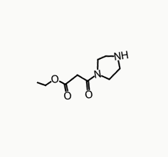 CCOC(=O)CC(=O)N1CCNCC1